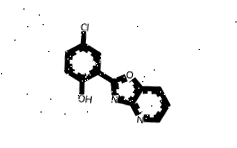 Oc1ccc(Cl)cc1-c1nc2ncccc2o1